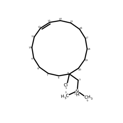 C[SiH](C)CC1(Cl)CCCCCCC=CCCCCCCC1